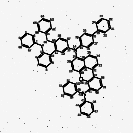 c1ccc(Cc2ccccc2-c2cc(N(c3ccc(-c4ccccc4)cc3)c3ccc4c5c(cccc35)-c3cccc(N(c5ccccc5)c5ccccc5)c3O4)ccc2Cc2ccccc2)cc1